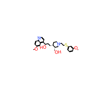 COc1cccc(SCCN2CC[C@@H](CC[C@H](O)c3ccnc4ccc(OC)cc34)[C@@H](CO)C2)c1